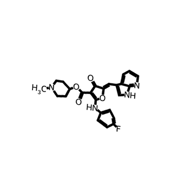 CN1CCC(OC(=O)C2=C(Nc3ccc(F)cc3)O/C(=C\c3c[nH]c4ncccc34)C2=O)CC1